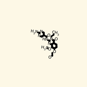 CCCn1c(NC(=O)c2cnc(N)nc2)nc2c(OC)c(OCC=O)ccc2c1=O